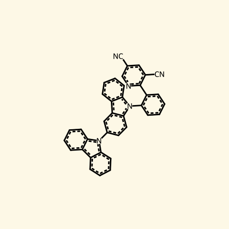 N#Cc1cnc(-c2ccccc2-n2c3ccccc3c3cc(-n4c5ccccc5c5ccccc54)ccc32)c(C#N)c1